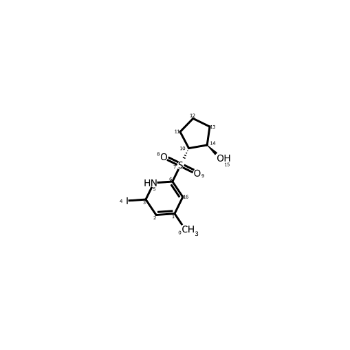 CC1=CC(I)NC(S(=O)(=O)[C@@H]2CCC[C@H]2O)=C1